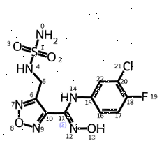 NS(=O)(=O)NCc1nonc1/C(=N/O)Nc1ccc(F)c(Cl)c1